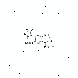 CCOC(=O)C(C#N)c1nc(OC)c(-c2c(C)noc2C)cc1[N+](=O)[O-]